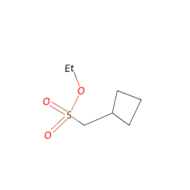 CCOS(=O)(=O)CC1CCC1